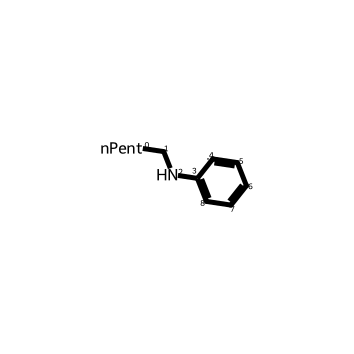 CCCCCCNc1[c]cccc1